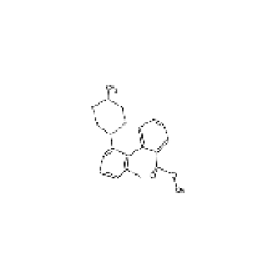 Cc1cccc(C2CCC(C(F)(F)F)CC2)c1-c1ccccc1C(=O)OC(C)(C)C